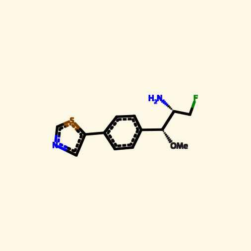 CO[C@H](c1ccc(-c2cncs2)cc1)[C@H](N)CF